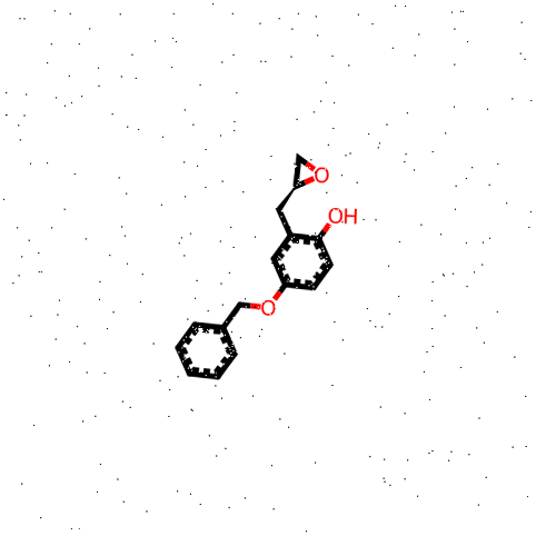 Oc1ccc(OCc2ccccc2)cc1C[C@H]1CO1